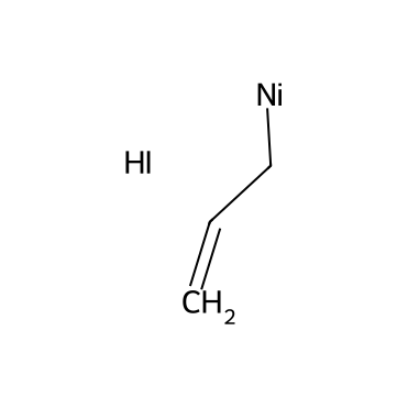 C=C[CH2][Ni].I